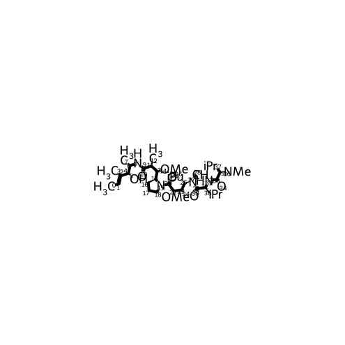 C/C=C(\C)[C@H](O)[C@@H](C)NC(=O)[C@H](C)[C@@H](OC)[C@@H]1CCCN1C(=O)C[C@@H](OC)[C@H]([C@@H](C)CC)N(C)C(=O)[C@@H](NC(=O)[C@@H](NC)C(C)C)C(C)C